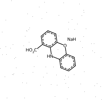 O=C(O)c1cccc2c1Nc1ccccc1O2.[NaH]